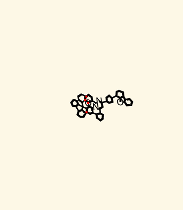 C1=CCC2Oc3cc(-c4ccccc4-c4cc(-c5ccc(-c6cccc7c6oc6ccccc67)cc5)nc(-c5ccccc5)n4)ccc3C3(C2=C1)c1ccccc1-c1ccccc13